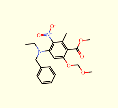 CCN(Cc1ccccc1)c1cc(OCOC)c(C(=O)OC)c(C)c1[N+](=O)[O-]